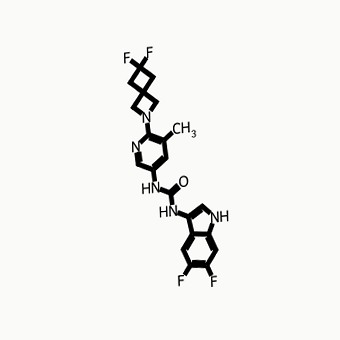 Cc1cc(NC(=O)Nc2c[nH]c3cc(F)c(F)cc23)cnc1N1CC2(C1)CC(F)(F)C2